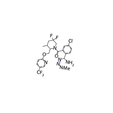 CN/N=N\C(N)c1ccc(Cl)cc1C(=O)N1CC(F)(F)CC(C)C1COc1ccc(C(F)(F)F)cn1